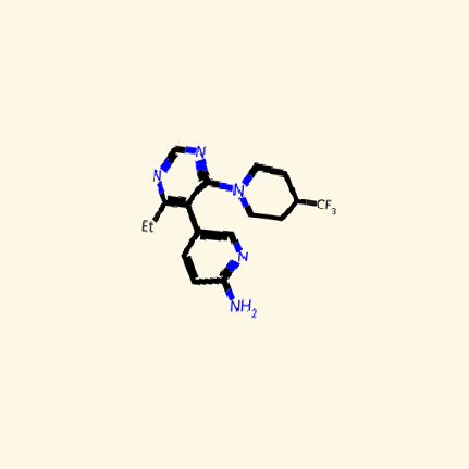 CCc1ncnc(N2CCC(C(F)(F)F)CC2)c1-c1ccc(N)nc1